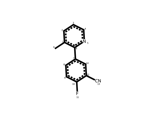 Cc1cccnc1-c1ccc(F)c(C#N)c1